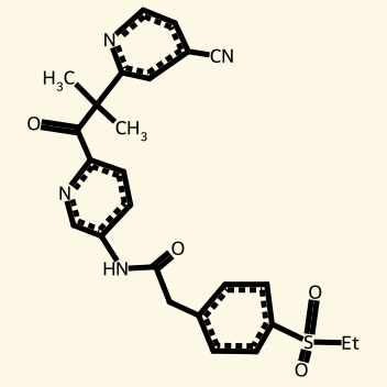 CCS(=O)(=O)c1ccc(CC(=O)Nc2ccc(C(=O)C(C)(C)c3cc(C#N)ccn3)nc2)cc1